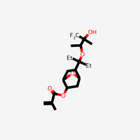 C=C(C)C(=O)OC1CC2OC1CC2C(CC)(CC)OC(C)C(C)(O)C(F)(F)F